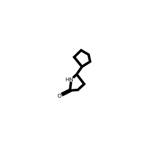 O=C1CCC(C2CCCC2)N1